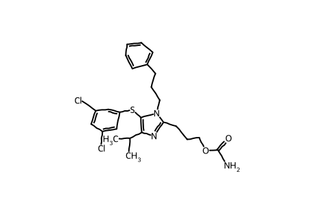 CC(C)c1nc(CCCOC(N)=O)n(CCCc2ccccc2)c1Sc1cc(Cl)cc(Cl)c1